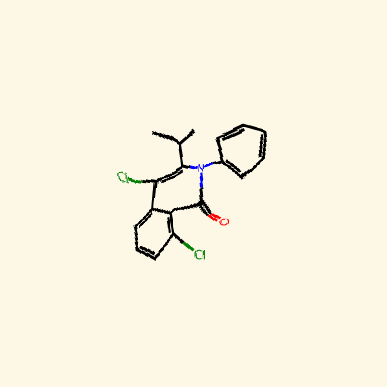 CC(C)c1c(Cl)c2cccc(Cl)c2c(=O)n1-c1ccccc1